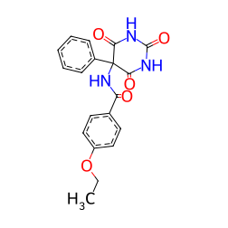 CCOc1ccc(C(=O)NC2(c3ccccc3)C(=O)NC(=O)NC2=O)cc1